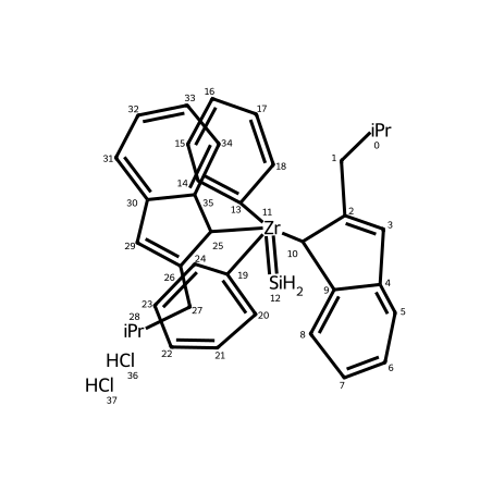 CC(C)CC1=Cc2ccccc2[CH]1[Zr](=[SiH2])([c]1ccccc1)([c]1ccccc1)[CH]1C(CC(C)C)=Cc2ccccc21.Cl.Cl